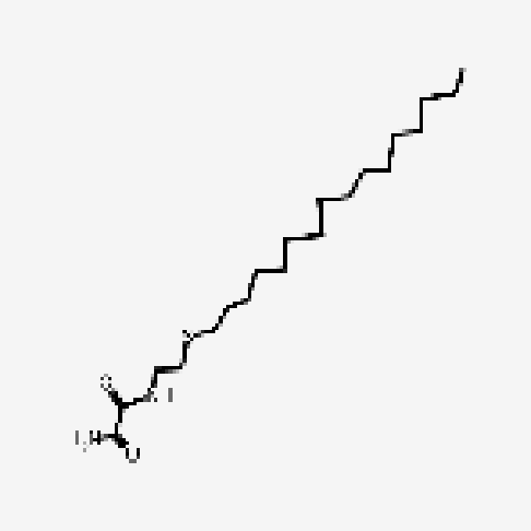 CCCCCCCCCCCCCCCCSCCNC(=O)C(N)=O